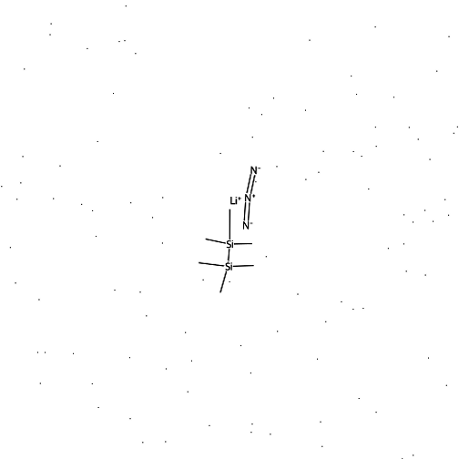 C[Si](C)(C)[Si](C)(C)C.[Li+].[N-]=[N+]=[N-]